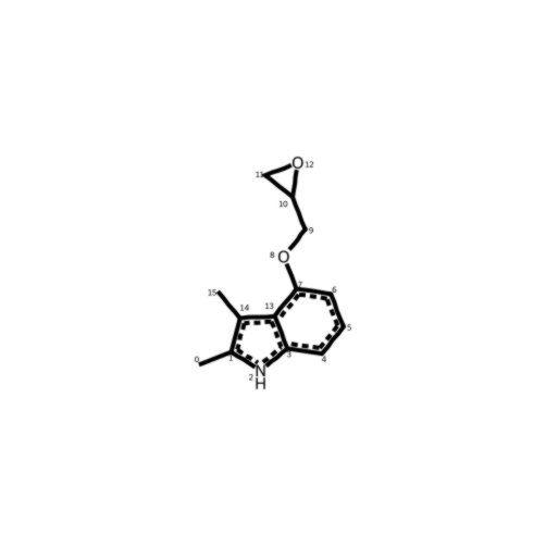 Cc1[nH]c2cccc(OCC3CO3)c2c1C